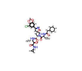 CCC[C@H](NC(=O)[C@@H]1C[C@]2(CC(c3cc(Cl)c4c(c3)OCO4)=NO2)CN1C(=O)[C@@H](NC(=O)CC1CCCCC1)C(C)(C)C)C(=O)C(=O)NC1CC1